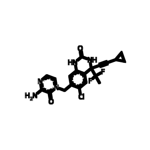 CC(F)(F)C1(C#CC2CC2)NC(=O)Nc2cc(Cn3ccnc(N)c3=O)c(Cl)cc21